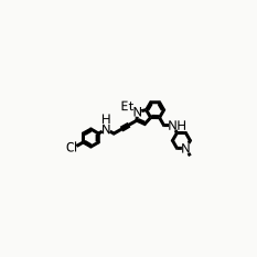 CCn1c(C#CCNc2ccc(Cl)cc2)cc2c(CNC3CCN(C)CC3)cccc21